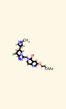 COCCOc1cnc2ccn(Cc3nnc4c(F)cc(-c5cnn(C)c5)cn34)c(=O)c2c1